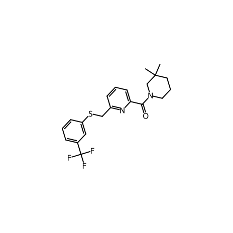 CC1(C)CCCN(C(=O)c2cccc(CSc3cccc(C(F)(F)F)c3)n2)C1